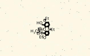 CCOc1ccc2c(c1CO)Oc1c(ccc(OCC)c1CO[Si](C)(C)C(C)(C)C)N2CC